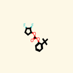 CC(C)(C)c1ccccc1OC(=O)OC1CCC(F)C1F